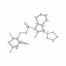 Cc1cc(C)c(COC(=O)c2c(C)n(C3CCOC3)c3ncccc23)c(=O)[nH]1